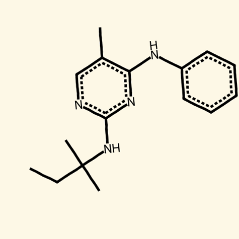 CCC(C)(C)Nc1ncc(C)c(Nc2ccccc2)n1